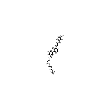 Cc1c(OCCCN(C)CCOCCC(C)(C)S)cccc1-c1cccc(OCCCN2CC[C@@H](O)C2)c1C